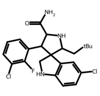 CC(C)(C)CC1NC(C(N)=O)C(c2cccc(Cl)c2F)C12CNc1ccc(Cl)cc12